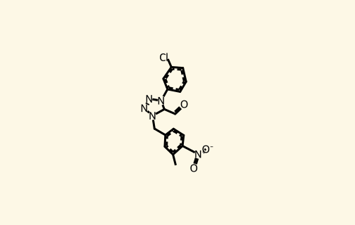 Cc1cc(CN2N=NN(c3cccc(Cl)c3)C2C=O)ccc1[N+](=O)[O-]